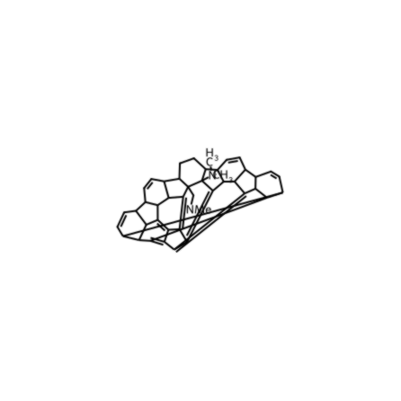 CNCC12C3=C4C5=C6C7C8C=CC9C%10C=CC%11C%12C=CC%13C%14C(=C4C4=C(C%11C%10C(=C54)C97)C%12%14)C1(N(C)C)C%13CCC2C1C=CC8C6C31